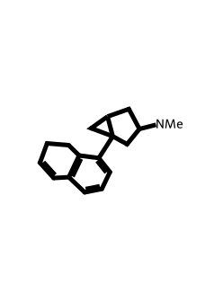 CNC1CC2CC2(c2cccc3c2CCC=C3)C1